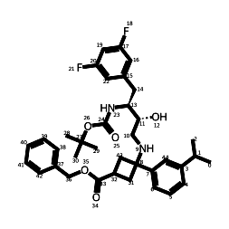 CC(C)c1cccc(C2(NC[C@@H](O)[C@H](Cc3cc(F)cc(F)c3)NC(=O)OC(C)(C)C)CC(C(=O)OCc3ccccc3)C2)c1